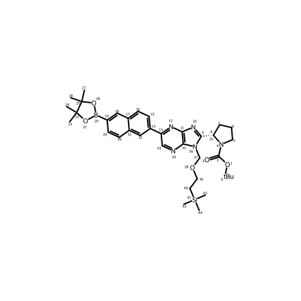 CC(C)(C)OC(=O)N1CCC[C@H]1c1nc2nc(-c3ccc4cc(B5OC(C)(C)C(C)(C)O5)ccc4c3)cnc2n1COCC[Si](C)(C)C